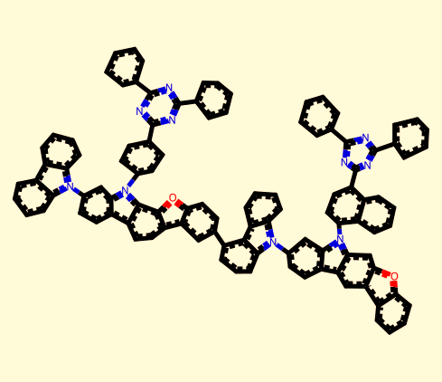 c1ccc(-c2nc(-c3ccccc3)nc(-c3ccc(-n4c5cc(-n6c7ccccc7c7ccccc76)ccc5c5ccc6c7cc(-c8cccc9c8c8ccccc8n9-c8ccc9c%10cc%11c(cc%10n(-c%10ccc(-c%12nc(-c%13ccccc%13)nc(-c%13ccccc%13)n%12)c%12ccccc%10%12)c9c8)oc8ccccc8%11)ccc7oc6c54)cc3)n2)cc1